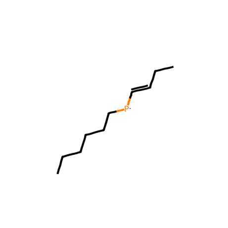 CC/C=C/[P]CCCCCC